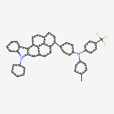 Cc1ccc(N(c2ccc(-c3ccc4ccc5c6c(ccc3c46)cc3c5c4ccccc4n3-c3ccccc3)cc2)c2ccc(C(F)(F)F)cc2)cc1